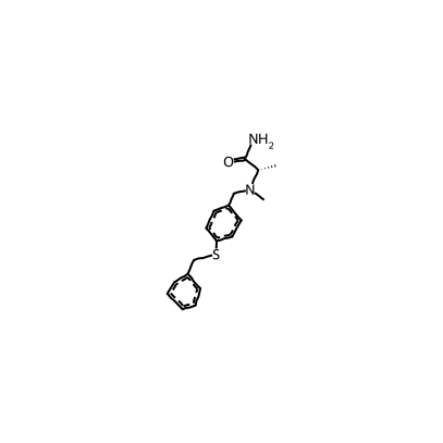 C[C@@H](C(N)=O)N(C)Cc1ccc(SCc2ccccc2)cc1